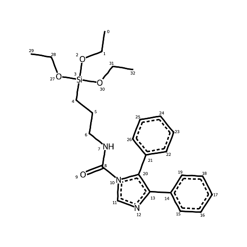 CCO[Si](CCCNC(=O)n1cnc(-c2ccccc2)c1-c1ccccc1)(OCC)OCC